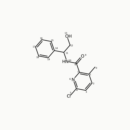 Cc1ccc(Cl)nc1C(=O)NC(CO)c1ccccc1